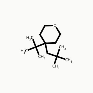 CC(C)(C)CC1(C(C)(C)C)CCOCC1